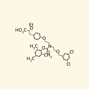 CCOC(Cc1ccc(OCCN(CCOCc2cc(Cl)cc(Cl)c2)C(=O)Oc2c(C)cc(C)cc2C)cc1)C(=O)O